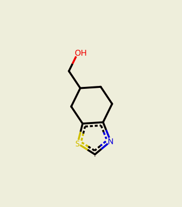 OCC1CCc2n[c]sc2C1